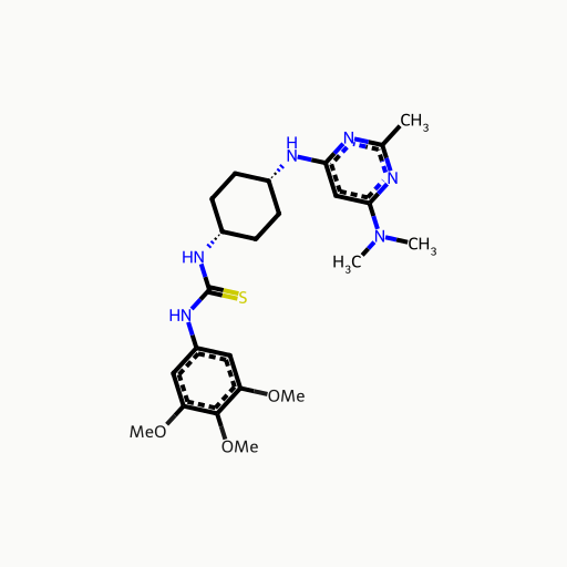 COc1cc(NC(=S)N[C@H]2CC[C@@H](Nc3cc(N(C)C)nc(C)n3)CC2)cc(OC)c1OC